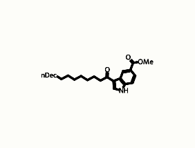 CCCCCCCCCCCCCCCCCC(=O)c1c[nH]c2ccc(C(=O)OC)cc12